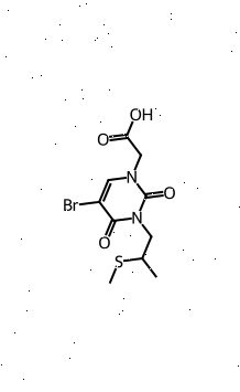 CSC(C)Cn1c(=O)c(Br)cn(CC(=O)O)c1=O